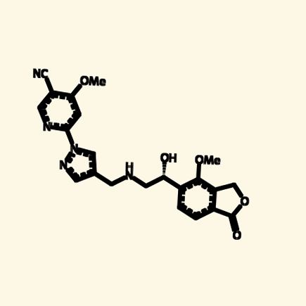 COc1cc(-n2cc(CNC[C@H](O)c3ccc4c(c3OC)COC4=O)cn2)ncc1C#N